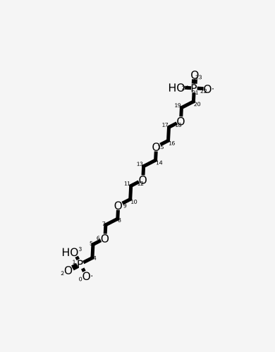 [O]P(=O)(O)CCOCCOCCOCCOCCOCCP([O])(=O)O